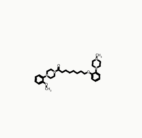 COc1ccccc1N1CCN(C(=O)CCCCCCCOc2ccccc2N2CCN(C)CC2)CC1